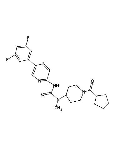 CN(C(=O)Nc1cnc(-c2cc(F)cc(F)c2)cn1)C1CCN(C(=O)C2CCCC2)CC1